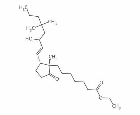 CCCC(C)(C)CC(O)C=C[C@H]1CCC(=O)[C@@]1(C)CCCCCCC(=O)OCC